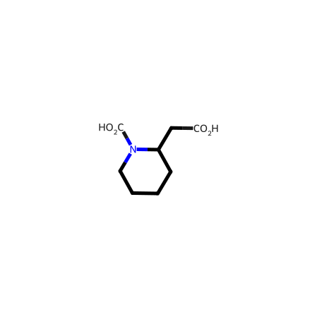 O=C(O)CC1CCCCN1C(=O)O